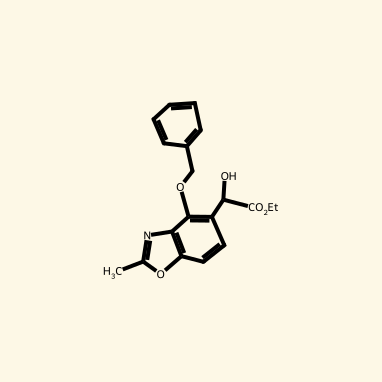 CCOC(=O)C(O)c1ccc2oc(C)nc2c1OCc1ccccc1